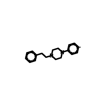 [c]1ccc(N2CCN(CCc3ccccc3)CC2)cc1